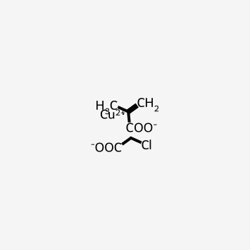 C=C(C)C(=O)[O-].O=C([O-])CCl.[Cu+2]